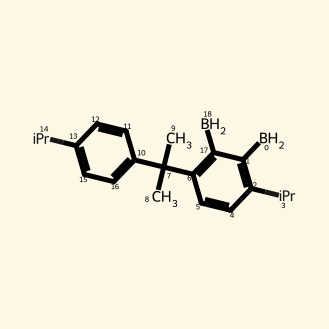 Bc1c(C(C)C)ccc(C(C)(C)c2ccc(C(C)C)cc2)c1B